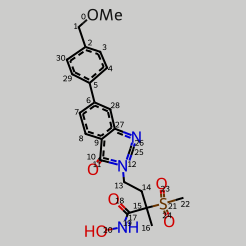 COCc1ccc(-c2ccc3c(=O)n(CCC(C)(C(=O)NO)S(C)(=O)=O)cnc3c2)cc1